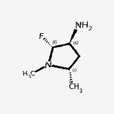 C[C@H]1C[C@H](N)[C@@H](F)N1C